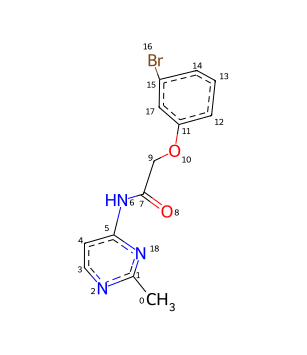 Cc1nccc(NC(=O)COc2cccc(Br)c2)n1